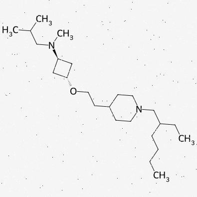 CCCCC(CC)CN1CCC(CCO[C@H]2C[C@H](N(C)CC(C)C)C2)CC1